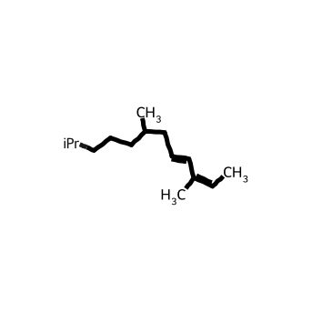 C/C=C(C)\C=C\CC(C)CCCC(C)C